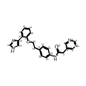 O=C(Cc1cncnc1)Nc1ccc(CCOc2ccccc2-c2c[nH]cn2)cc1